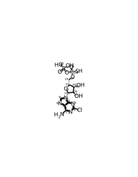 Nc1nc(Cl)nc2c1ncn2[C@@H]1O[C@H](CO[P@](=O)(S)OP(=O)(O)O)[C@@H](O)C1O